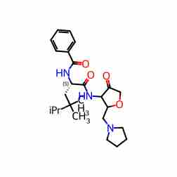 CC(C)C(C)(C)C[C@H](NC(=O)c1ccccc1)C(=O)NC1C(=O)COC1CN1CCCC1